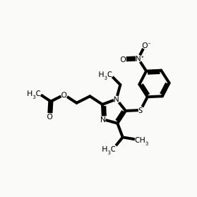 CCn1c(CCOC(C)=O)nc(C(C)C)c1Sc1cccc([N+](=O)[O-])c1